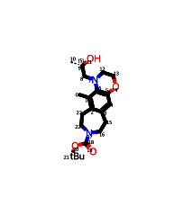 Cc1c2c(cc3c1N(C[C@H](C)O)CCO3)CCN(C(=O)OC(C)(C)C)CC2